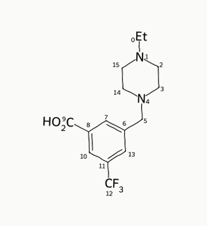 CCN1CCN(Cc2cc(C(=O)O)cc(C(F)(F)F)c2)CC1